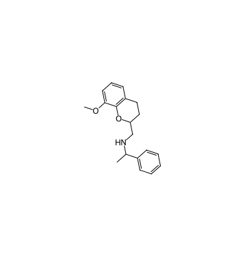 COc1cccc2c1OC(CNC(C)c1ccccc1)CC2